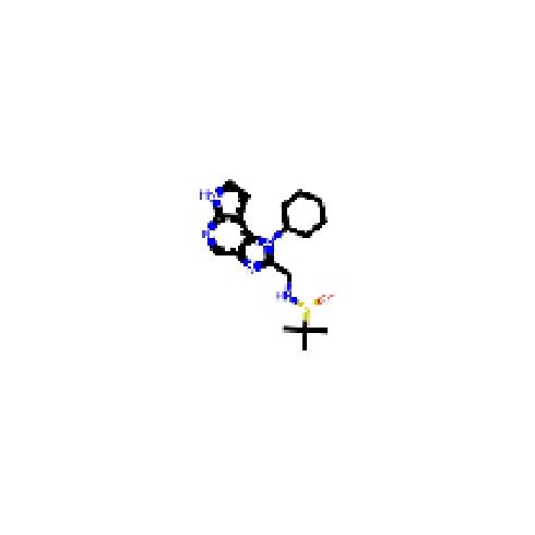 CC(C)(C)[S+]([O-])NCc1nc2cnc3[nH]ccc3c2n1C1CCCCC1